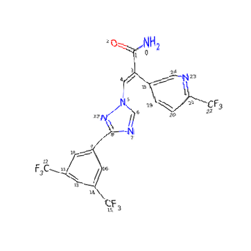 NC(=O)C(=Cn1cnc(-c2cc(C(F)(F)F)cc(C(F)(F)F)c2)n1)c1ccc(C(F)(F)F)nc1